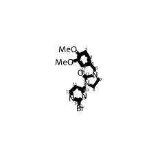 COc1ccc(CN2CCN(c3ccnc(Br)n3)C2=O)cc1OC